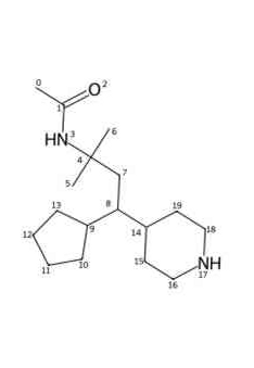 CC(=O)NC(C)(C)CC(C1CCCC1)C1CCNCC1